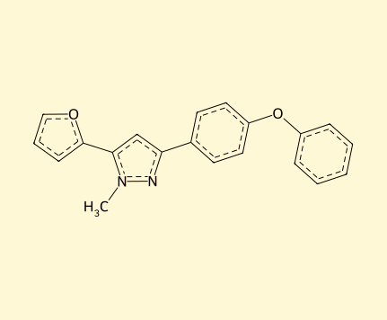 Cn1nc(-c2ccc(Oc3ccccc3)cc2)cc1-c1ccco1